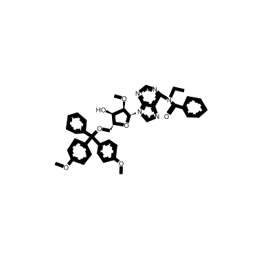 CCN(C(=O)c1ccccc1)c1ncnc2c1ncn2[C@@H]1O[C@H](COC(c2ccccc2)(c2ccc(OC)cc2)c2ccc(OC)cc2)[C@@H](O)[C@H]1OC